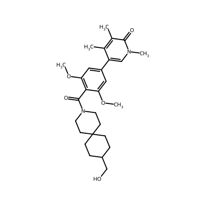 COc1cc(-c2cn(C)c(=O)c(C)c2C)cc(OC)c1C(=O)N1CCC2(CCC(CO)CC2)CC1